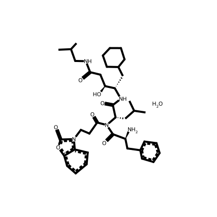 CC(C)CNC(=O)C[C@H](O)[C@H](CC1CCCCC1)NC(=O)[C@H](CC(C)C)N(C(=O)CCn1c(=O)oc2ccccc21)C(=O)[C@@H](N)Cc1ccccc1.O